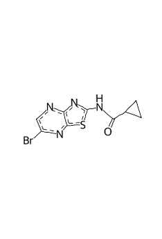 O=C(Nc1nc2ncc(Br)nc2s1)C1CC1